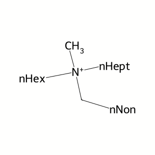 CCCCCCCCCC[N+](C)(CCCCCC)CCCCCCC